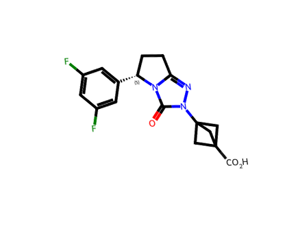 O=C(O)C12CC(n3nc4n(c3=O)[C@H](c3cc(F)cc(F)c3)CC4)(C1)C2